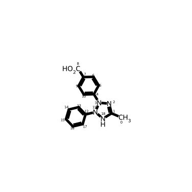 CC1=NN(c2ccc(C(=O)O)cc2)N(c2ccccc2)N1